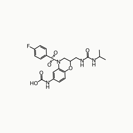 CC(C)NC(=O)NCC1CN(S(=O)(=O)c2ccc(F)cc2)c2cc(NC(=O)O)ccc2O1